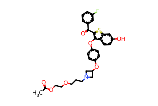 CC(=O)OCCOCCCN1CC(Oc2ccc(Oc3c(C(=O)c4cccc(F)c4)sc4cc(O)ccc34)cc2)C1